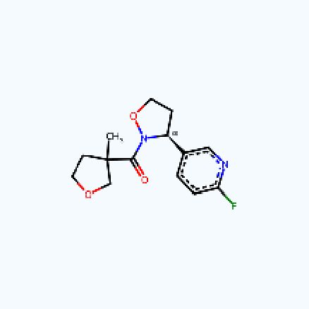 CC1(C(=O)N2OCC[C@H]2c2ccc(F)nc2)CCOC1